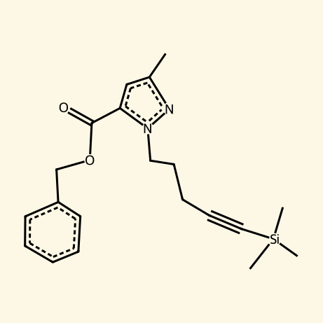 Cc1cc(C(=O)OCc2ccccc2)n(CCCC#C[Si](C)(C)C)n1